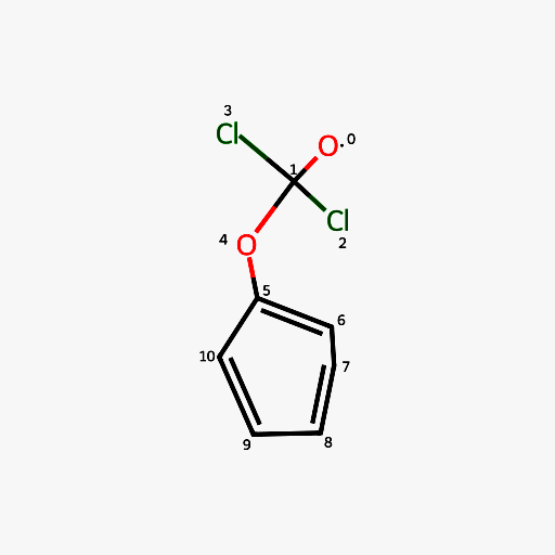 [O]C(Cl)(Cl)Oc1ccccc1